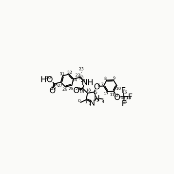 CC1=NN(C)C(Oc2cccc(OC(F)(F)F)c2)C1C(=O)N[C@@H](C)c1ccc(C(=O)O)cc1